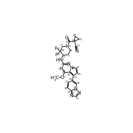 COc1nc(N[C@@H]2CCN(C(=O)C3(C#N)CC3)CC2(F)F)nn2ccc(-c3ccc4ncnn4c3)c12